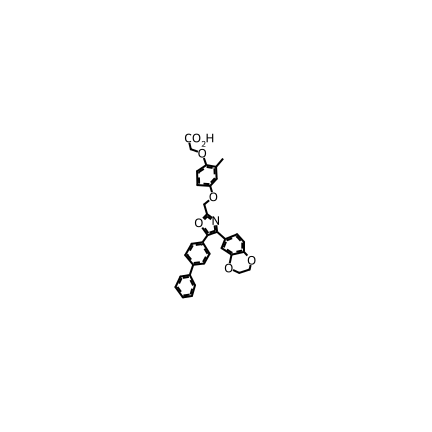 Cc1cc(OCc2nc(-c3ccc4c(c3)OCCO4)c(-c3ccc(-c4ccccc4)cc3)o2)ccc1OCC(=O)O